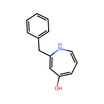 OC1=CC=CNC(Cc2ccccc2)=C1